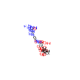 CC(=O)OC[C@]12CCC(C)=C[C@H]1O[C@@H]1[C@H](OC(=O)c3cc(C(=O)O)c(C(=O)NNC(=O)c4ccc(NCc5cnc6nc(N)[nH]c(=O)c6n5)cc4)cc3C=O)[C@@H](OC(C)=O)[C@@]2(C)C12CO2